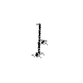 C=C(C)C(=O)O.C=C(C)C(=O)OC(C)COCCOCCOCCOCCOCCOCCOCCOCCOCCO